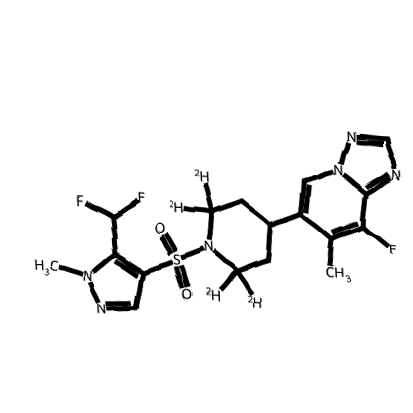 [2H]C1([2H])CC(c2cn3ncnc3c(F)c2C)CC([2H])([2H])N1S(=O)(=O)c1cnn(C)c1C(F)F